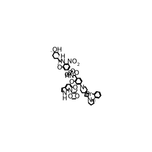 CC(C)c1ccccc1[C@H]1CCCN1C1CC2(CCN(c3ccc(C(=O)NS(=O)(=O)c4cc5c(c([N+](=O)[O-])c4)N[C@@H]([C@H]4CC[C@](C)(O)CC4)CO5)c(Oc4cc5cc[nH]c5nc4OC[C@@H]4COCCO4)c3)CC2)C1